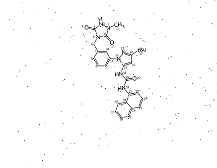 Cn1[nH]c(=O)n(Cc2cccc(-n3nc(C(C)(C)C)cc3NC(=O)Nc3cccc4ccccc34)c2)c1=O